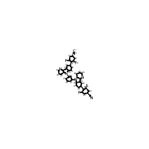 [C-]#[N+]c1cc(F)c(-c2ccc3c(c2)c2ncccc2n3-c2cccc(-n3c4ccc(-c5c(F)cc(C#N)cc5F)cc4c4ncccc43)c2)c(F)c1